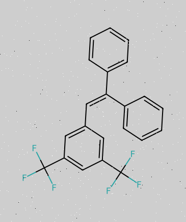 FC(F)(F)c1cc(C=C(c2ccccc2)c2ccccc2)cc(C(F)(F)F)c1